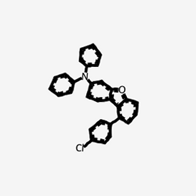 Clc1ccc(-c2cccc3oc4cc(N(c5ccccc5)c5ccccc5)ccc4c23)cc1